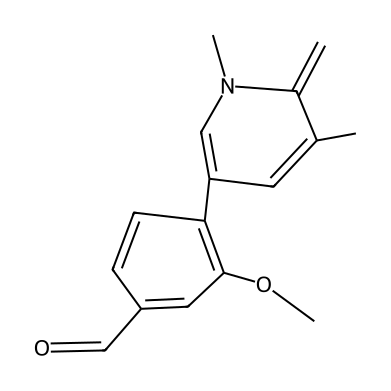 C=C1C(C)=CC(c2ccc(C=O)cc2OC)=CN1C